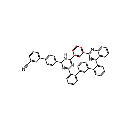 N#Cc1cccc(-c2ccc(C3N=C(c4ccccc4-c4cccc(-c5ccccc5-c5nc(-c6ccccc6)nc6ccccc56)c4)N=C(c4ccccc4)N3)cc2)c1